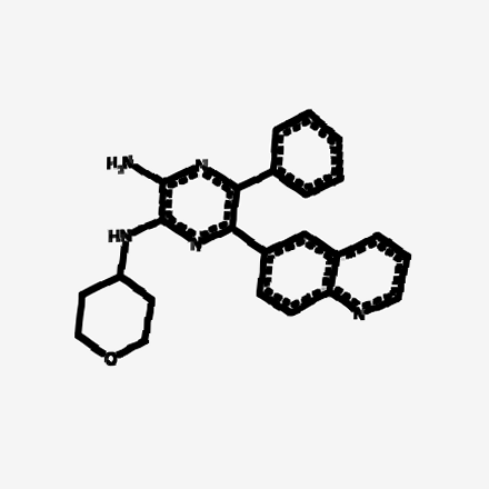 Nc1nc(-c2ccccc2)c(-c2ccc3ncccc3c2)nc1NC1CCOCC1